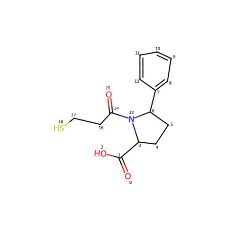 O=C(O)C1CCC(c2ccccc2)N1C(=O)CCS